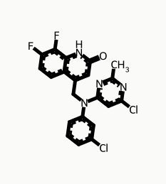 Cc1nc(Cl)cc(N(Cc2cc(=O)[nH]c3c(F)c(F)ccc23)c2cccc(Cl)c2)n1